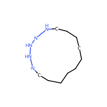 C1CCCCCN[N]NN[N]CCCC1